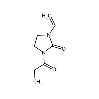 C=CN1CCN(C(=O)CC)C1=O